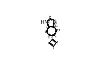 C1=CC=C1.c1ccc2[nH]cnc2c1